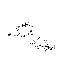 Fc1cncc(C2=CC3CNC3C2)c1